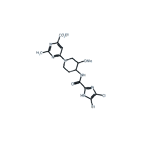 CCOC(=O)c1cc(N2CCC(NC(=O)c3nc(Cl)c(CC)[nH]3)C(OC)C2)nc(C)n1